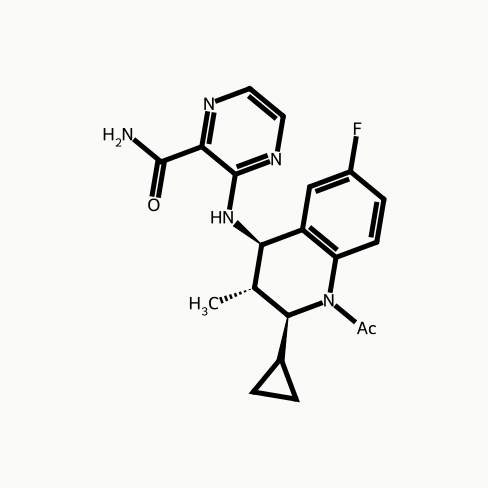 CC(=O)N1c2ccc(F)cc2[C@H](Nc2nccnc2C(N)=O)[C@@H](C)[C@@H]1C1CC1